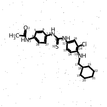 CC(=O)Nc1ccc(NC(=S)Nc2ccc(NCC3CCCCC3)c(Cl)c2)cc1